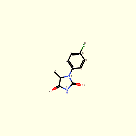 CC1C(=O)NC(=O)N1c1ccc(Cl)cc1